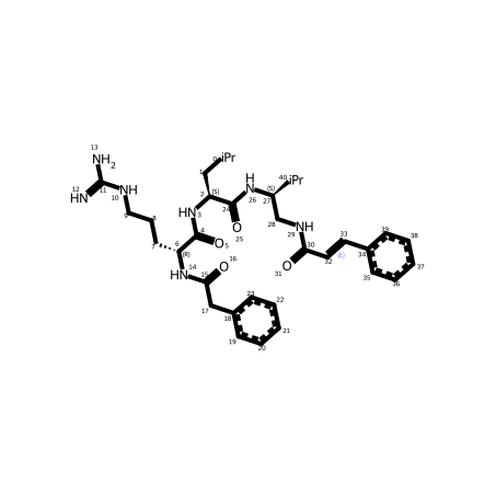 CC(C)C[C@H](NC(=O)[C@@H](CCCNC(=N)N)NC(=O)Cc1ccccc1)C(=O)N[C@H](CNC(=O)/C=C/c1ccccc1)C(C)C